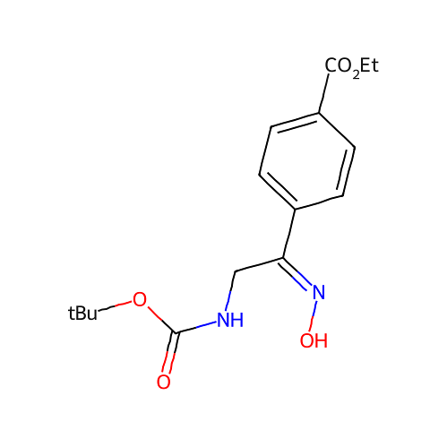 CCOC(=O)c1ccc(C(CNC(=O)OC(C)(C)C)=NO)cc1